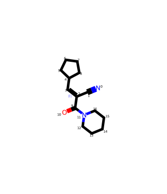 N#C/C(=C\C1CCCC1)C(=O)N1CCCCC1